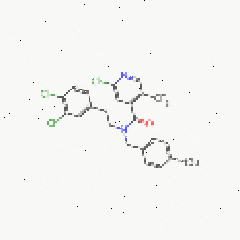 CC(C)(C)c1ccc(CN(CCc2ccc(Cl)c(Cl)c2)C(=O)c2cc(Cl)ncc2C(F)(F)F)cc1